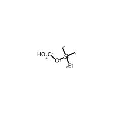 CC[Si](C)(C)OC(=O)O